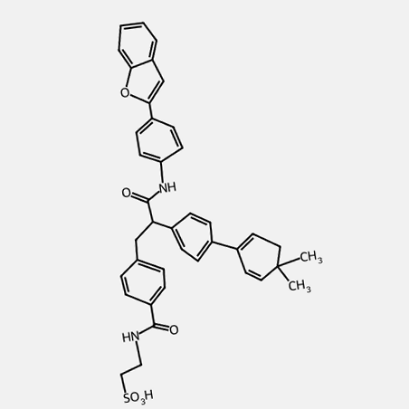 CC1(C)C=CC(c2ccc(C(Cc3ccc(C(=O)NCCS(=O)(=O)O)cc3)C(=O)Nc3ccc(-c4cc5ccccc5o4)cc3)cc2)=CC1